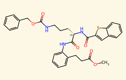 COC(=O)CCc1ccccc1NC(=O)[C@H](CCCNC(=O)OCc1ccccc1)NC(=O)c1cc2ccccc2s1